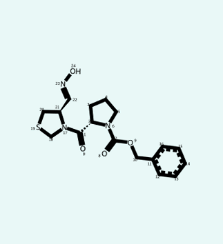 O=C([C@@H]1CCCN1C(=O)OCc1ccccc1)N1CSC[C@H]1C=NO